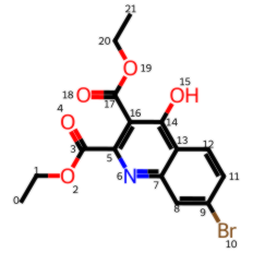 CCOC(=O)c1nc2cc(Br)ccc2c(O)c1C(=O)OCC